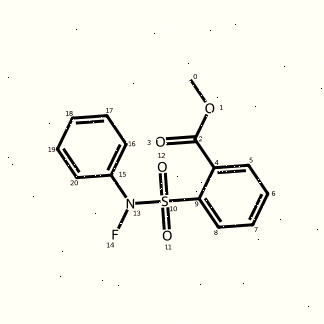 COC(=O)c1ccccc1S(=O)(=O)N(F)c1ccccc1